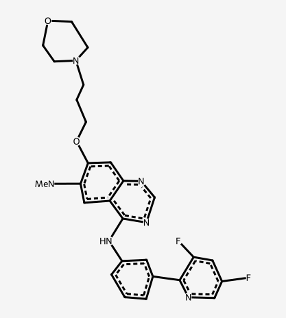 CNc1cc2c(Nc3cccc(-c4ncc(F)cc4F)c3)ncnc2cc1OCCCN1CCOCC1